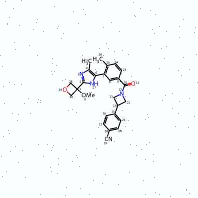 COC1(c2nc(C)c(-c3cc(C(=O)N4CC(c5ccc(C#N)cc5)C4)ccc3C)[nH]2)COC1